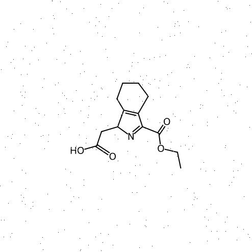 CCOC(=O)C1=NC(CC(=O)O)C2=C1CCCC2